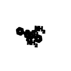 NCCNC(=O)C(CN)(CCc1ccccc1)CCc1ccccc1